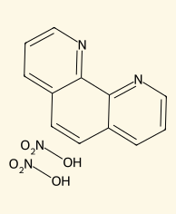 O=[N+]([O-])O.O=[N+]([O-])O.c1cnc2c(c1)ccc1cccnc12